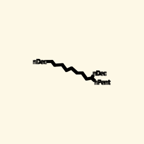 [CH2]CCCCC(CCCCCCCCCC)CCCCCCCCCCCCCCCCCC